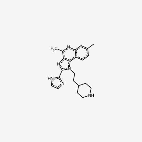 Cc1ccc2c(c1)nc(C(F)(F)F)c1nc(-c3ncc[nH]3)n(CCC3CCNCC3)c12